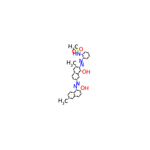 Cc1ccc2c(N=Nc3ccc4cc(C)c(/N=N/c5ccccc5NS(C)(=O)=O)c(O)c4c3)c(O)ccc2c1